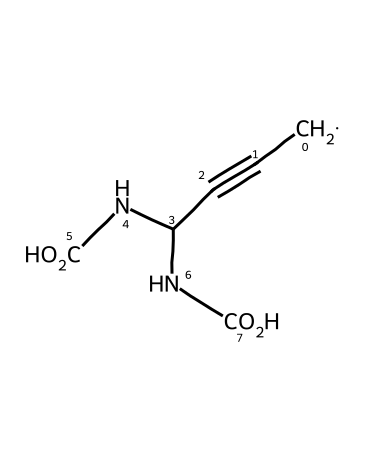 [CH2]C#CC(NC(=O)O)NC(=O)O